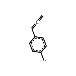 [CH2]c1ccc(C=C=C)cc1